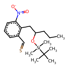 CCCC(Cc1c(C=S)cccc1[N+](=O)[O-])O[Si](C)(C)C(C)(C)C